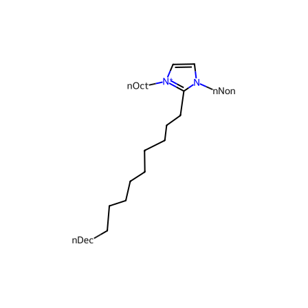 CCCCCCCCCCCCCCCCCCCc1n(CCCCCCCCC)cc[n+]1CCCCCCCC